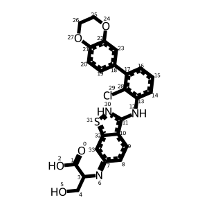 O=C(O)C(CO)N=c1ccc2c(Nc3cccc(-c4ccc5c(c4)OCCO5)c3Cl)[nH]sc-2c1